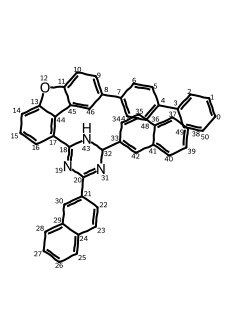 c1ccc(-c2ccc(-c3ccc4oc5cccc(C6=NC(c7ccc8ccccc8c7)=NC(c7ccc8ccccc8c7)N6)c5c4c3)cc2)cc1